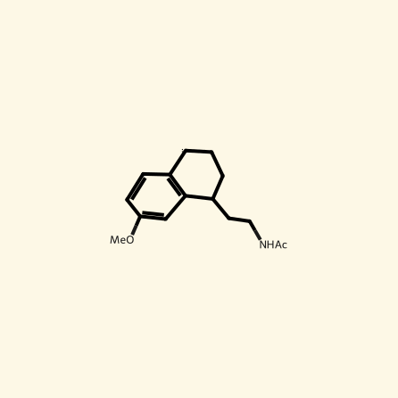 COc1ccc2c(c1)C(CCNC(C)=O)CC[C]2